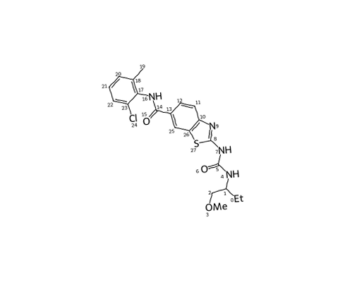 CCC(COC)NC(=O)Nc1nc2ccc(C(=O)Nc3c(C)cccc3Cl)cc2s1